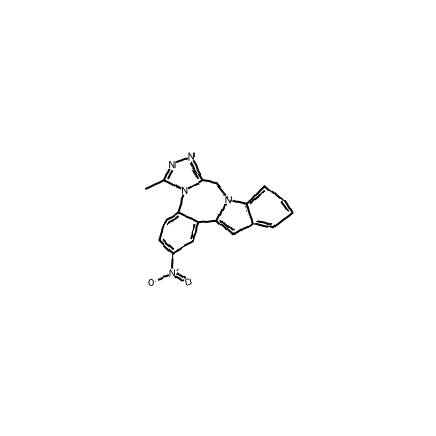 Cc1nnc2n1-c1ccc([N+](=O)[O-])cc1-c1cc3ccccc3n1C2